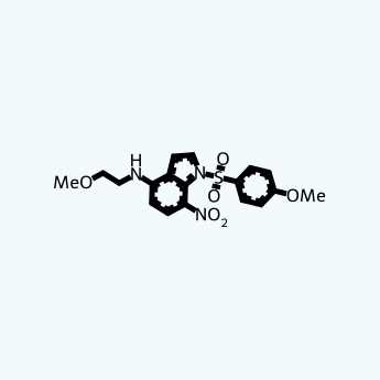 COCCNc1ccc([N+](=O)[O-])c2c1ccn2S(=O)(=O)c1ccc(OC)cc1